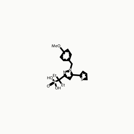 CCC(CC)(c1cc(-c2cccs2)n(Cc2ccc(OC)cc2)n1)P(=O)(O)O